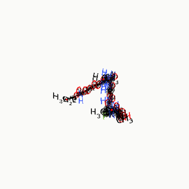 C=CC(CCCCCCC)OCC(=O)NCCOCCOCCOCCOCCC(=O)N[C@H](C(=O)N[C@@H](CCCNC(N)=O)C(=O)Nc1ccc(COC(=O)NCC(=O)N[C@H]2CCc3c(C)c(F)cc4nc5c(c2c34)Cn2c-5cc3c(c2=O)COC(=O)[C@]3(O)CC)cc1)C(C)C